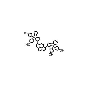 Oc1ccc(C2(c3ccc(O)cc3)c3ccccc3-c3ccc(-c4ccc5ccc6ccc(-c7ccc8c(c7)C(c7ccc(O)cc7)(c7ccc(O)cc7)c7ccccc7-8)c7ccc4c5c67)cc32)cc1